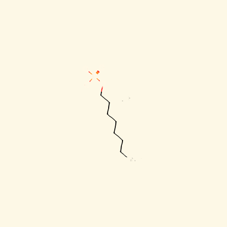 CCCCCCCCCCCCCCCCOP(=O)([O-])[O-].[K+].[K+]